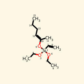 C=C[Si](OCC)(OCC)OC(C)=CCCC